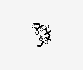 C=CC(=O)OC(C)(CC)CC(C)(C)C(=O)OC1(C)CCOC1=O